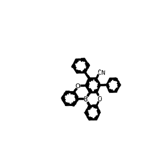 N#Cc1c(-c2ccccc2)c2c3c(c1-c1ccccc1)Oc1ccccc1B3c1ccccc1O2